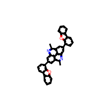 Cc1nc2cc(-c3cccc4c3oc3ccccc34)cc3c(C)nc4cc(-c5cccc6c5oc5ccccc56)cc1c4c23